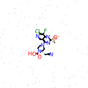 C[S+]([O-])c1nc(N2CCN(C(=O)O)[C@@H](CC#N)C2)c2cnc(Cl)c(F)c2n1